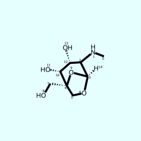 CNC1[C@H]2OC[C@](CO)(O2)[C@H](O)[C@@H]1O